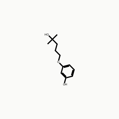 CC(C)(O)CCCOc1cccc(O)c1